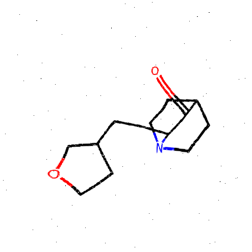 O=C1C2CCN(CC2)C1CC1CCOC1